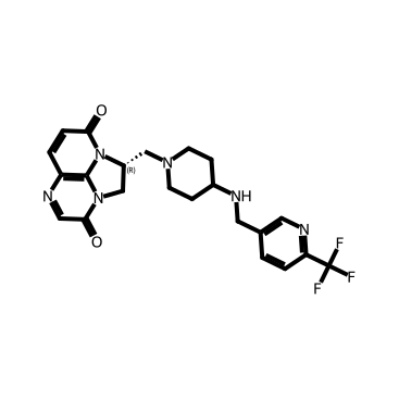 O=c1cnc2ccc(=O)n3c2n1C[C@H]3CN1CCC(NCc2ccc(C(F)(F)F)nc2)CC1